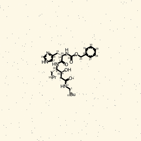 CC[C@H](C)CNC(=O)C[C@H](O)[C@H](CC(C)C)NC(=O)[C@H](Cc1c[nH]cn1)NC(=O)OCc1ccccc1